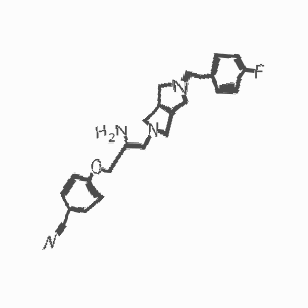 N#Cc1ccc(OC[C@@H](N)CN2CC3CN(Cc4ccc(F)cc4)CC3C2)cc1